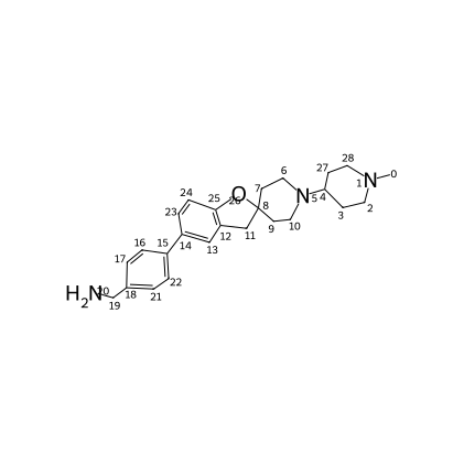 CN1CCC(N2CCC3(CC2)Cc2cc(-c4ccc(CN)cc4)ccc2O3)CC1